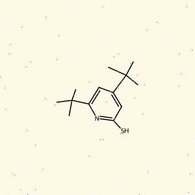 CC(C)(C)c1cc(S)nc(C(C)(C)C)c1